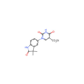 CCOC(=O)c1cn(-c2ccc3c(c2)C(C)(C)C(=O)N3)c(=O)[nH]c1=O